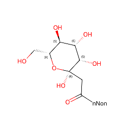 CCCCCCCCCC(=O)C[C@@]1(O)O[C@H](CO)[C@@H](O)[C@H](O)[C@@H]1O